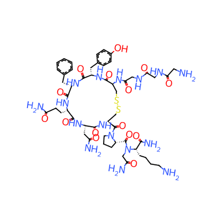 NCCCC[C@@H](C(N)=O)N(CC(N)=O)C(=O)[C@@H]1CCCN1C(=O)[C@@H]1CSSC[C@H](NC(=O)CNC(=O)CNC(=O)CN)C(=O)N[C@@H](Cc2ccc(O)cc2)C(=O)N[C@@H](Cc2ccccc2)C(=O)N[C@@H](CCC(N)=O)C(=O)N[C@@H](CC(N)=O)C(=O)N1